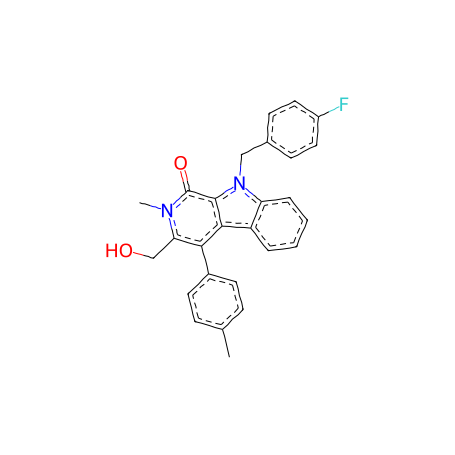 Cc1ccc(-c2c(CO)n(C)c(=O)c3c2c2ccccc2n3Cc2ccc(F)cc2)cc1